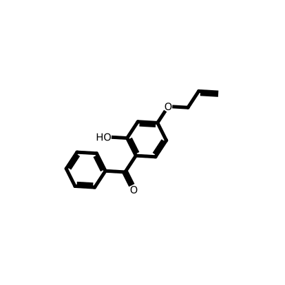 C=CCOc1ccc(C(=O)c2ccccc2)c(O)c1